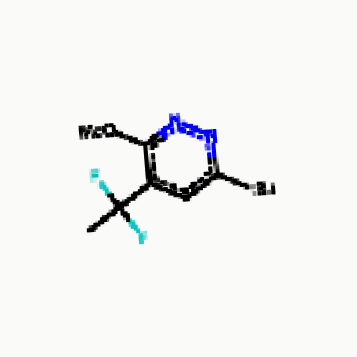 COc1nnc(C(C)(C)C)cc1C(C)(F)F